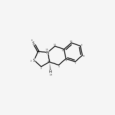 S=C1SC[C@@H]2Cc3ccccc3CN12